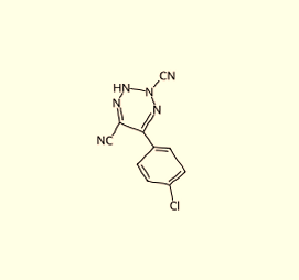 N#CC1=NNN(C#N)N=C1c1ccc(Cl)cc1